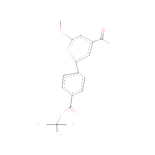 COc1cc(C(=O)O)cc(-c2ccc(C(=O)OC(C)(C)C)cc2)n1